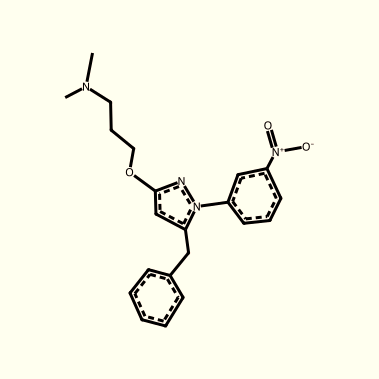 CN(C)CCCOc1cc(Cc2ccccc2)n(-c2cccc([N+](=O)[O-])c2)n1